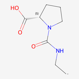 [CH2]CNC(=O)N1CCC[C@H]1C(=O)O